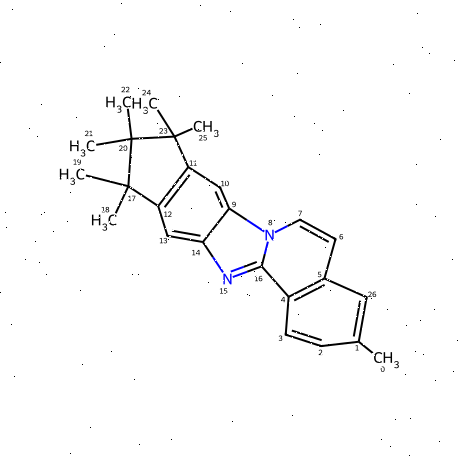 Cc1ccc2c(ccn3c4cc5c(cc4nc23)C(C)(C)C(C)(C)C5(C)C)c1